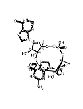 Nc1nc2c(ncn2[C@@H]2C3O[C@H]4[C@H]2OP(=O)(O)OC[C@H]2O[C@@H](n5cnc6c(=O)[nH]cnc65)[C@H](O)[C@@H]2OP(=O)(O)OC[C@]34O)c(=O)[nH]1